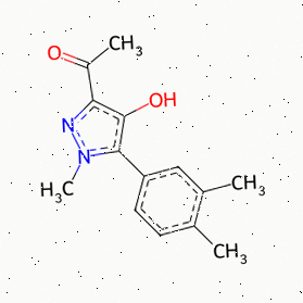 CC(=O)c1nn(C)c(-c2ccc(C)c(C)c2)c1O